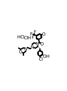 COc1cc(C(=O)N2CCN(CCN3CC(C)OC(C)C3)C[C@H]2Cc2ccc(Cl)c(O)c2)cc(C(F)(F)F)c1.Cl.Cl